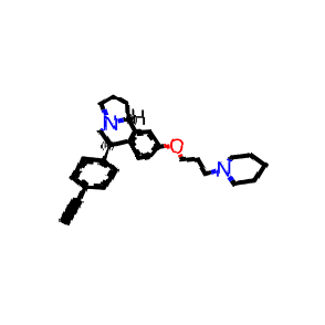 C#Cc1ccc([C@H]2CN3CCC[C@@H]3c3cc(OCCCN4CCCCC4)ccc32)cc1